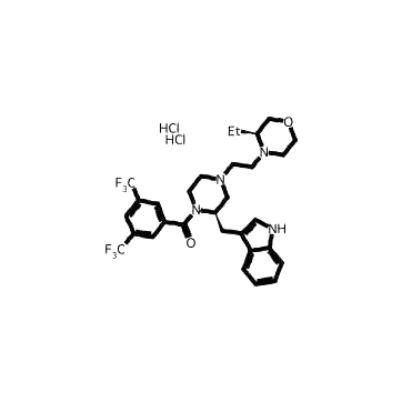 CC[C@H]1COCCN1CCN1CCN(C(=O)c2cc(C(F)(F)F)cc(C(F)(F)F)c2)[C@H](Cc2c[nH]c3ccccc23)C1.Cl.Cl